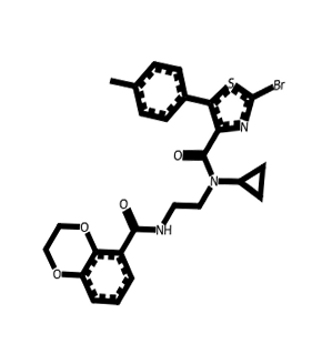 Cc1ccc(-c2sc(Br)nc2C(=O)N(CCNC(=O)c2cccc3c2OCCO3)C2CC2)cc1